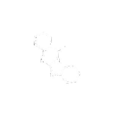 Clc1c2ccccc2nc2nc3ccccc3n12